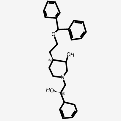 OC1CN(C[C@@H](O)C2C=CC=CC2)CC[C@H]1CCOC(c1ccccc1)c1ccccc1